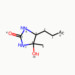 CC(=O)CCC1NC(=O)NC1(C)O